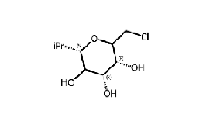 CC(C)[C@@H]1OC(CCl)[C@H](O)[C@H](O)C1O